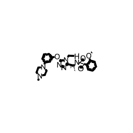 CCn1c(Oc2cccc(N3CCN(C)CC3)c2)nnc1[C@@H](C)NS(=O)(=O)c1ccccc1OC